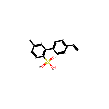 C=Cc1ccc(-c2cc(C)ccc2S(=O)(=O)O)cc1